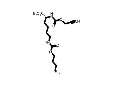 C#CCOC(=O)N[C@H](CCCCNC(=O)OCCCN)C(=O)OCC